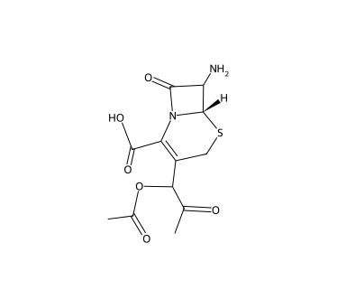 CC(=O)OC(C(C)=O)C1=C(C(=O)O)N2C(=O)C(N)[C@@H]2SC1